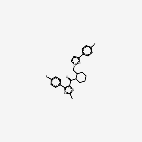 Cc1nc(C(=O)N2CCCCC2Cn2ccc(-c3ccc(F)cc3)n2)c(-c2ccc(F)cc2)o1